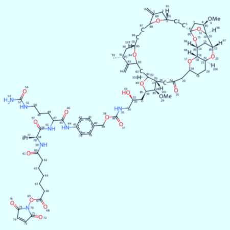 C=C1C[C@@H]2CC[C@]34C[C@@H](OC)[C@H](O3)[C@H]3C[C@@H](O4)[C@H]4OC(CC[C@@H]4O3)CC(=O)C[C@@H]3[C@@H](OC)[C@@H](C[C@H](O)CNC(=O)OCc4ccc(NC(=O)C(CCCNC(N)=O)NC(=O)[C@@H](NC(=O)CCCCCC(=O)ON5C(=O)C=CC5=O)C(C)C)cc4)O[C@H]3CC3O[C@@H](CCC1O2)C[C@@H](C)C3=C